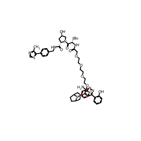 Cc1ncsc1-c1ccc(CNC(=O)[C@@H]2C[C@@H](O)CN2C(=O)[C@@H](NC(=O)COCCOCCOCCOc2cc(N3C4CCC3CN(c3cc(-c5ccccc5O)nnc3N)C4)ccn2)C(C)(C)C)cc1